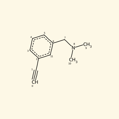 C#Cc1cccc(CN(C)C)c1